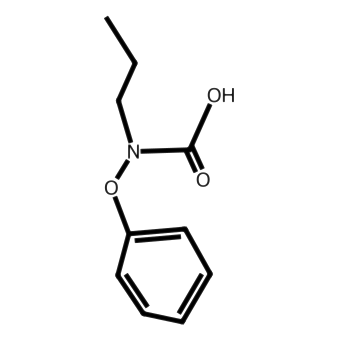 CCCN(Oc1ccccc1)C(=O)O